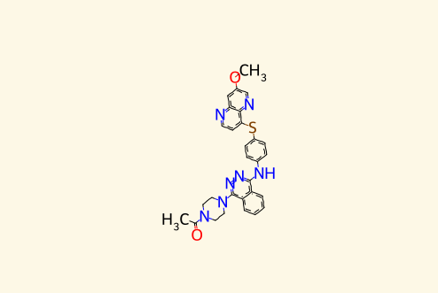 COc1cnc2c(Sc3ccc(Nc4nnc(N5CCN(C(C)=O)CC5)c5ccccc45)cc3)ccnc2c1